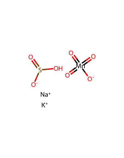 O=S([O-])O.[K+].[Na+].[O]=[Mn](=[O])(=[O])[O-]